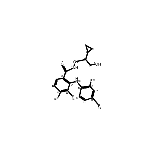 O=C(NOC(CO)C1CC1)c1ccc(F)c(F)c1Nc1ccc(F)cc1F